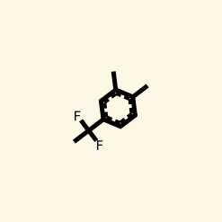 Cc1ccc(C(C)(F)F)cc1C